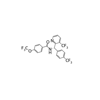 O=C(N[C@@H](c1ccc(C(F)(F)F)cc1)c1ncccc1C(F)(F)F)c1ccc(OC(F)(F)F)cc1